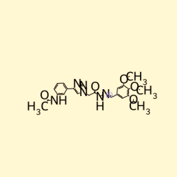 COc1cc(/C=N/NC(=O)Cn2cc(-c3cccc(NC(C)=O)c3)nn2)cc(OC)c1OC